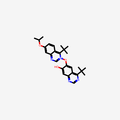 CC(C)Oc1ccc2c(C(C)(C)C)[n+](Oc3cc4c(C(C)(C)C)ncnc4cc3O)cnc2c1